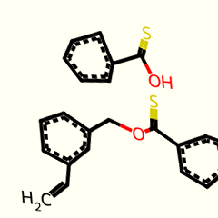 C=Cc1cccc(COC(=S)c2ccccc2)c1.OC(=S)c1ccccc1